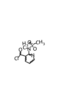 CN(c1ncccc1C(=O)Cl)S(C)(=O)=O